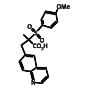 COc1ccc(S(=O)(=O)C(C)(Cc2ccc3ncccc3c2)C(=O)O)cc1